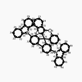 c1ccc2c(c1)Oc1c(oc3ccccc13)C21c2cc(-n3c4ccccc4c4ccccc43)ccc2-c2ccc(-n3c4ccccc4c4ccccc43)cc21